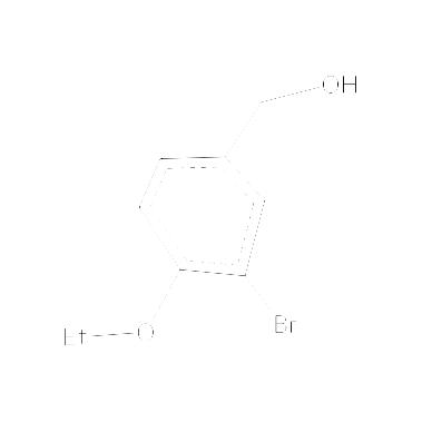 CCOc1ccc([CH]O)cc1Br